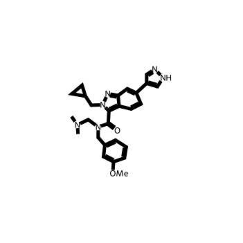 COc1cccc(CN(CN(C)C)C(=O)c2c3ccc(-c4cn[nH]c4)cc3nn2CC2CC2)c1